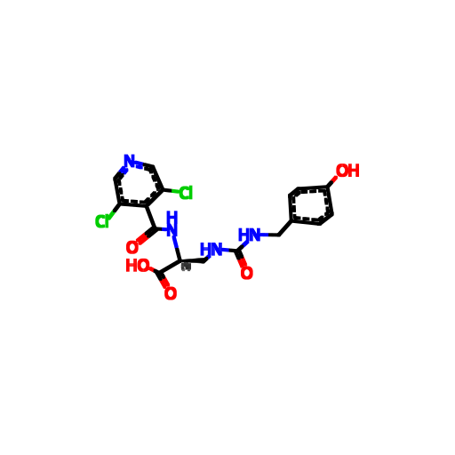 O=C(NCc1ccc(O)cc1)NC[C@H](NC(=O)c1c(Cl)cncc1Cl)C(=O)O